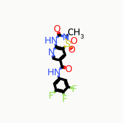 CN1C(=O)Nc2ncc(C(=O)Nc3cc(F)c(F)c(F)c3)cc2S1(=O)=O